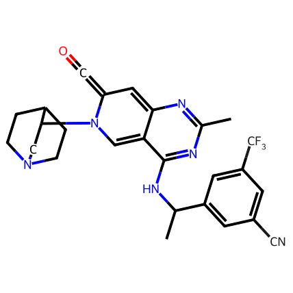 Cc1nc(NC(C)c2cc(C#N)cc(C(F)(F)F)c2)c2c(n1)=CC(=C=O)N(C1CN3CCC1CC3)C=2